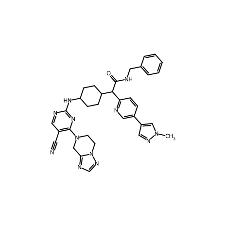 Cn1cc(-c2ccc(C(C(=O)NCc3ccccc3)C3CCC(Nc4ncc(C#N)c(N5CCn6ncnc6C5)n4)CC3)nc2)cn1